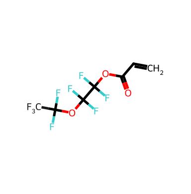 C=CC(=O)OC(F)(F)C(F)(F)OC(F)(F)C(F)(F)F